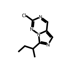 CCC(C)c1ncc2cnc(Cl)nn12